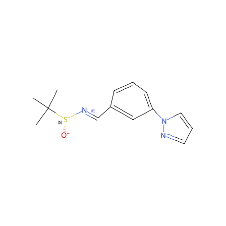 CC(C)(C)[S@@+]([O-])/N=C/c1cccc(-n2cccn2)c1